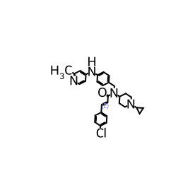 Cc1cc(Nc2ccc(CN(C(=O)/C=C/c3ccc(Cl)cc3)C3CCN(C4CC4)CC3)cc2)ccn1